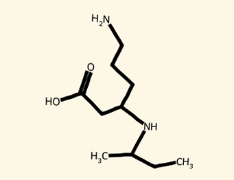 CCC(C)NC(CCCN)CC(=O)O